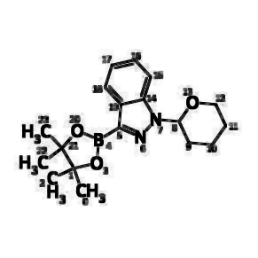 CC1(C)OB(c2nn(C3CCCCO3)c3ccccc23)OC1(C)C